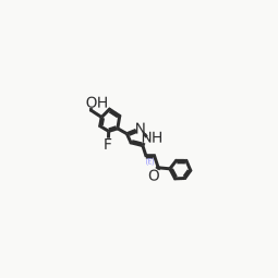 O=C(/C=C/c1cc(-c2ccc(CO)cc2F)n[nH]1)c1ccccc1